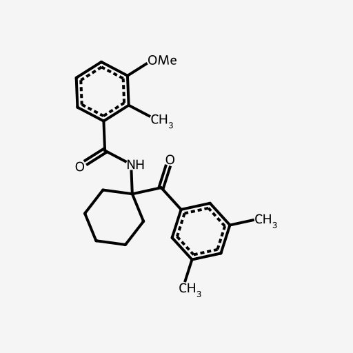 COc1cccc(C(=O)NC2(C(=O)c3cc(C)cc(C)c3)CCCCC2)c1C